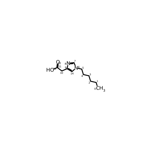 CCCCCCn1cnc(CC(=O)O)c1